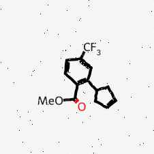 COC(=O)c1ccc(C(F)(F)F)cc1C1CC=CC1